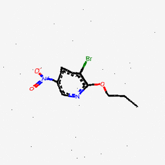 CCCOc1ncc([N+](=O)[O-])cc1Br